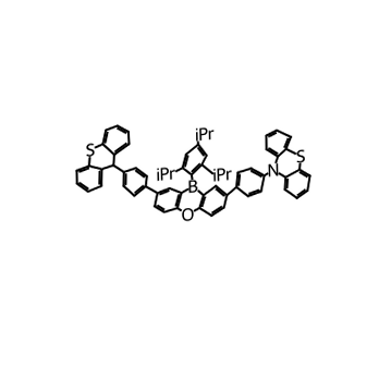 CC(C)c1cc(C(C)C)c(B2c3cc(-c4ccc(C5c6ccccc6Sc6ccccc65)cc4)ccc3Oc3ccc(-c4ccc(N5c6ccccc6Sc6ccccc65)cc4)cc32)c(C(C)C)c1